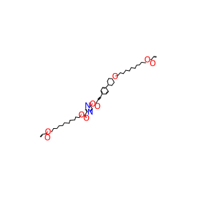 C=CC(=O)OCCCCCCCCCCCOC(=O)c1cnc(OC(=O)C#Cc2ccc(C3CCC(OCCCCCCCCCCCOC(=O)C=C)CC3)cc2)cn1